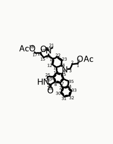 CC(=O)OCCCN1c2c3c(c4c(c2C2C=C(C5CC(COC(C)=O)ON5C)C=CC21)CNC4=O)-c1ccccc1C3